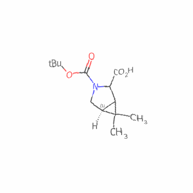 CC(C)(C)OC(=O)N1C[C@H]2C(C1C(=O)O)C2(C)C